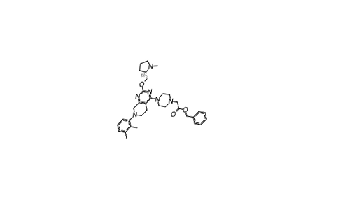 Cc1cccc(N2CCc3c(nc(OC[C@@H]4CCCN4C)nc3N3CCN(CC(=O)OCc4ccccc4)CC3)C2)c1C